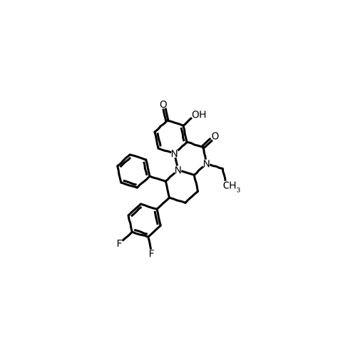 CCN1C(=O)c2c(O)c(=O)ccn2N2C(c3ccccc3)C(c3ccc(F)c(F)c3)CCC12